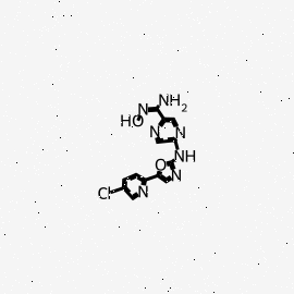 N/C(=N/O)c1cnc(Nc2ncc(-c3ccc(Cl)cn3)o2)cn1